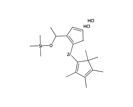 CC1=C(C)C(C)(C)[C]([Zr][C]2=C(C(C)O[Si](C)(C)C)C=CC2)=C1C.Cl.Cl